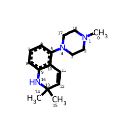 CN1CCN(c2cccc3c2C=CC(C)(C)N3)CC1